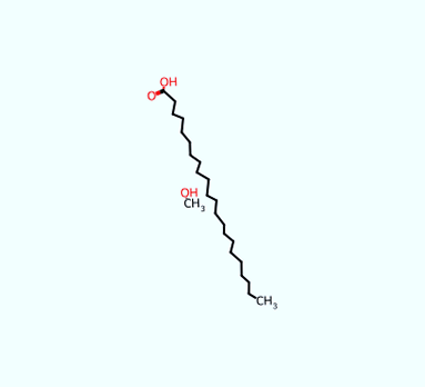 CCCCCCCCCCCCCCCCCCCCCC(=O)O.CO